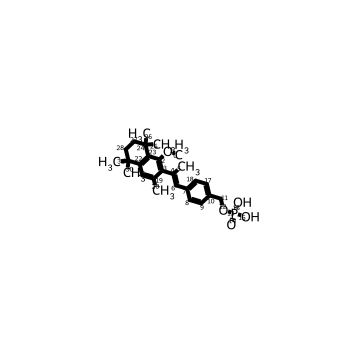 COc1c(C(C)=Cc2ccc(COP(=O)(O)O)cc2)c(C)cc2c1C(C)(C)CCC2(C)C